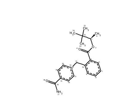 C[C@@H](OC(=O)c1ccccc1C[n+]1ccc(C(N)=O)cc1)C(C)(C)C